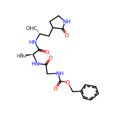 CCCC[C@H](NC(=O)CNC(=O)OCc1ccccc1)C(=O)N[C@H](C=O)CC1CCNC1=O